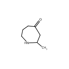 CC1CC(=O)CCCN1